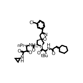 CCC[C@H](NC(=O)[C@@H]1C[C@]2(CC(c3cccc(Cl)c3)=NO2)CN1C(=O)[C@@H](NC(=O)C=C1CCCCC1)C(C)(C)C)C(=O)C(=O)NC1CC1